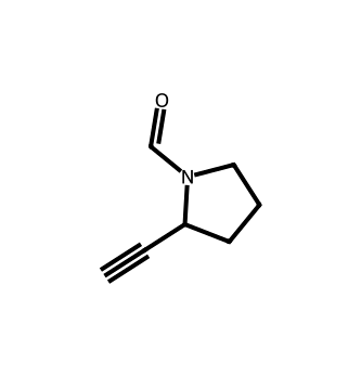 C#CC1CCCN1C=O